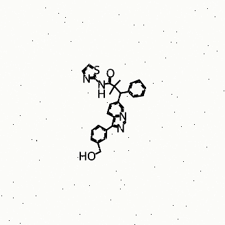 CC(C)(C(=O)Nc1nccs1)C(c1ccccc1)c1ccc2c(-c3cccc(CO)c3)ncn2c1